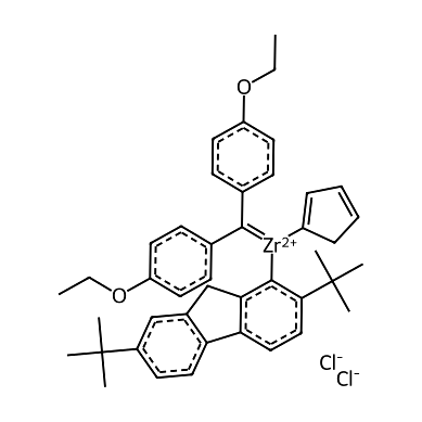 CCOc1ccc([C](c2ccc(OCC)cc2)=[Zr+2]([C]2=CC=CC2)[c]2c(C(C)(C)C)ccc3c2Cc2cc(C(C)(C)C)ccc2-3)cc1.[Cl-].[Cl-]